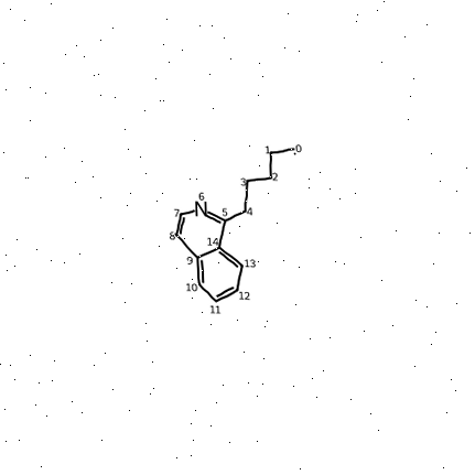 [CH2]CCCCc1nccc2ccccc12